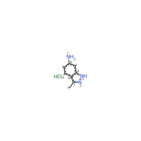 Cc1n[nH]c2cc(N)ccc12.Cl